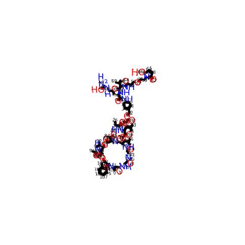 C=C1C(=O)N[C@@H](C)C(=O)N(C)[C@@H](C)C(=O)N[C@@H]([C@H](OC(=O)[C@@H](NC(=O)CC)[C@H](OC(=O)OCc2ccc(NC(=O)[C@H](CCCNC(N)O)NC(=O)[C@@H](NC(=O)CCOCCN3C(=O)C=CC3O)C(C)C)cc2)C(C)C)C(C)C)C(=O)N(C)[C@@H]([C@@H](C)OC)C(=O)O[C@H](C(C)C)[C@H](NC(C)=O)C(=O)O[C@H](Cc2ccccc2)C(=O)N1C